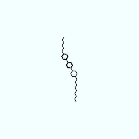 CCCCCCCCCC1CCC(c2ccc(-c3ccc(CCCCCC)cc3)cc2)CC1